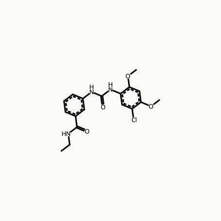 CCNC(=O)c1cccc(NC(=O)Nc2cc(Cl)c(OC)cc2OC)c1